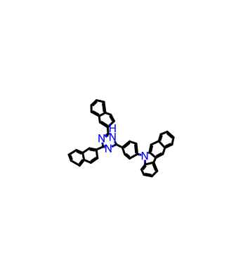 c1ccc2cc(C3=NC(c4ccc(-n5c6ccccc6c6cc7ccccc7cc65)cc4)NC(c4ccc5ccccc5c4)=N3)ccc2c1